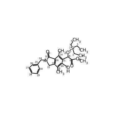 CC[Si](CC)(CC)OC(C(=O)OC)c1c(C)c2c(c(C)c1O)CN(Cc1ccccc1)C2=O